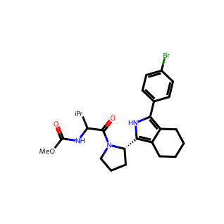 COC(=O)NC(C(=O)N1CCC[C@H]1c1[nH]c(-c2ccc(Br)cc2)c2c1CCCC2)C(C)C